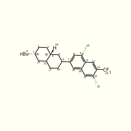 CCCC[C@@H]1CC[C@@H]2CC(c3cc(F)c4cc(C(F)(F)F)c(F)cc4c3)CCC2C1